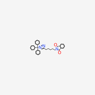 O=C1c2ccccc2C(=O)N1CCCCCc1cn(C(c2ccccc2)(c2ccccc2)c2ccccc2)cn1